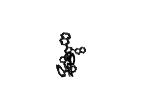 O=S1(=O)c2c(-c3cc(-c4ccc5ccccc5c4)cc(-c4ccc5ccccc5c4)c3)cccc2-n2c(-c3ccccc3)nc3cccc1c32